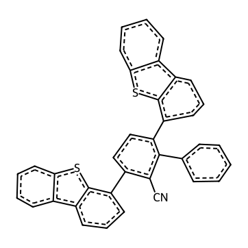 N#Cc1c(-c2cccc3c2sc2ccccc23)ccc(-c2cccc3c2sc2ccccc23)c1-c1ccccc1